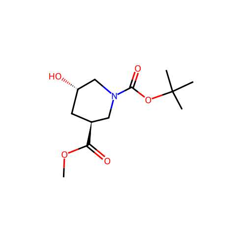 COC(=O)[C@H]1C[C@H](O)CN(C(=O)OC(C)(C)C)C1